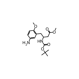 COC(=O)CC(Cc1cc(N)ccc1OC)NC(=O)OC(C)(C)C